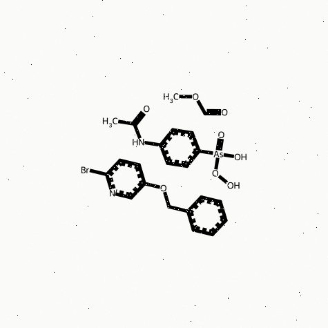 Brc1ccc(OCc2ccccc2)cn1.CC(=O)Nc1ccc([As](=O)(O)OO)cc1.COC=O